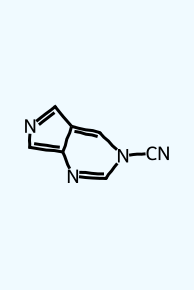 N#Cn1cnc2cncc-2c1